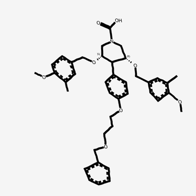 COc1ccc(CO[C@H]2CN(C(=O)O)C[C@@H](OCc3ccc(OC)c(C)c3)C2c2ccc(OCCCOCc3ccccc3)cc2)cc1C